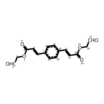 O=CCOC(=O)C=Cc1ccc(C=CC(=O)OCC=O)cc1